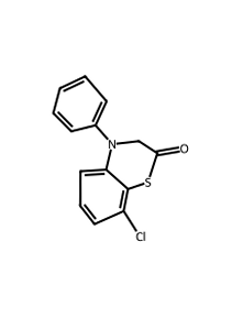 O=C1CN(c2ccccc2)c2cccc(Cl)c2S1